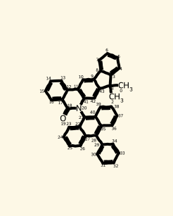 CC1(C)c2ccccc2-c2cc3c4ccccc4c(=O)n(-c4c5ccccc5c(-c5ccccc5)c5ccccc45)c3cc21